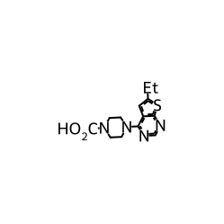 CCc1cc2c(N3CCN(C(=O)O)CC3)ncnc2s1